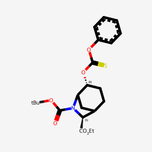 CCOC(=O)[C@@H]1C2CC[C@@H](OC(=S)Oc3ccccc3)C(C2)N1C(=O)OC(C)(C)C